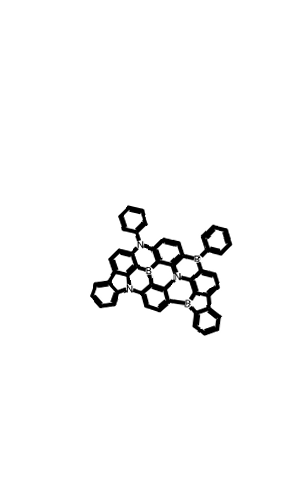 c1ccc(B2c3ccc4c5c3N3c6c2ccc2c6B6c7c(ccc(c73)B5c3ccccc3-4)-n3c4ccccc4c4ccc(c6c43)N2c2ccccc2)cc1